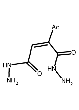 CC(=O)C(=CC(=O)NN)C(=O)NN